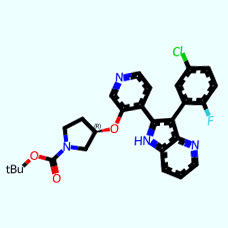 CC(C)(C)OC(=O)N1CC[C@@H](Oc2cnccc2-c2[nH]c3cccnc3c2-c2cc(Cl)ccc2F)C1